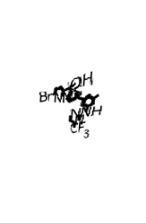 Cc1cc(Nc2nccc(C(F)(F)F)n2)cc(-c2cnc([C@](C)(O)c3ccc(Br)nc3)s2)c1